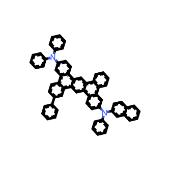 c1ccc(-c2ccc3c(c2)c2cc4c5ccc(N(c6ccccc6)c6ccc7ccccc7c6)cc5c5ccccc5c4cc2c2ccc(N(c4ccccc4)c4ccccc4)cc32)cc1